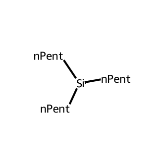 CCCCC[Si](CCCCC)CCCCC